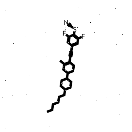 CCCCCCC1CCC(C2CCC(C#Cc3cc(F)c(SC#N)c(F)c3)=C(C)C2)CC1